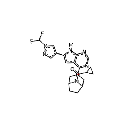 O=C(C1CC1)N1C2CCC1CN(c1ncnc3[nH]c(-c4cnn(C(F)F)c4)cc13)C2